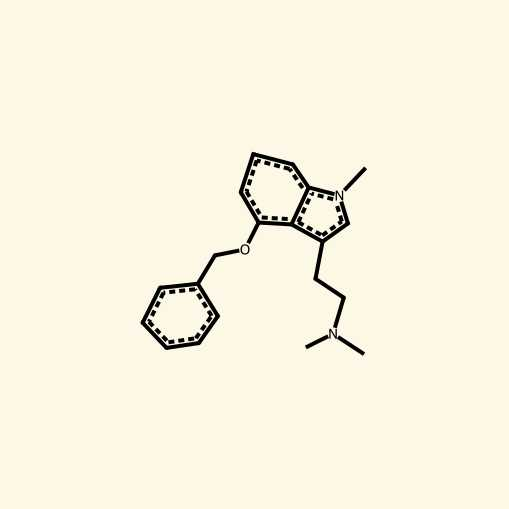 CN(C)CCc1cn(C)c2cccc(OCc3ccccc3)c12